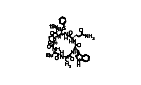 CC[C@H](C)[C@@H]1NC(=O)[C@H]2CCCN2[C@@H](C(=O)NC(C)(C)C)[C@@H](CSc2ccccc2)NC(=O)[C@H](CCC(N)=O)NC(=O)[C@H](Cc2c[nH]c3ccccc23)NC(=O)[C@@H](C)NC1=O